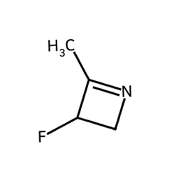 CC1=NCC1F